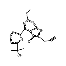 C#CCn1[nH]c2nc(SC)nc(-c3cccc(C(C)(C)O)n3)c2c1=O